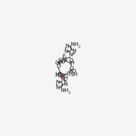 Nc1ncnc2c1ncn2[C@@H]1O[C@@H]2COP(=O)(S)O[C@@H]3[C@H](O)[C@@H](COP(=O)(S)O[C@H]2[C@H]1F)O[C@H]3n1cnc2c(N)ncnc21